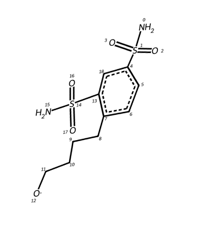 NS(=O)(=O)c1ccc(CCCC[O])c(S(N)(=O)=O)c1